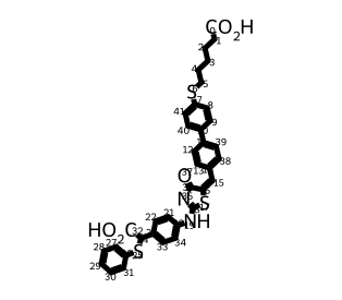 O=C(O)CCCCCSc1ccc(-c2ccc(C=C3SC(Nc4ccc(C(Sc5ccccc5)C(=O)O)cc4)=NC3=O)cc2)cc1